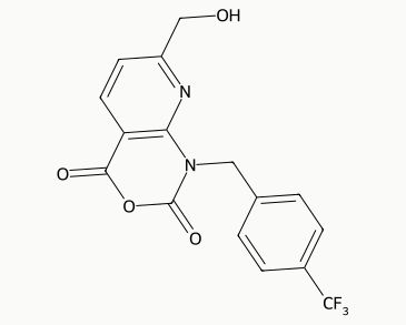 O=c1oc(=O)n(Cc2ccc(C(F)(F)F)cc2)c2nc(CO)ccc12